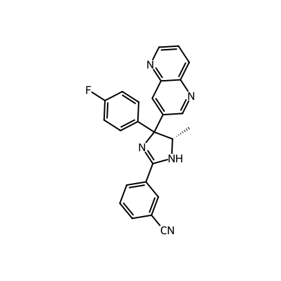 C[C@@H]1NC(c2cccc(C#N)c2)=NC1(c1ccc(F)cc1)c1cnc2cccnc2c1